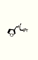 CC(C)CN(C)Cc1ccoc1